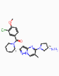 COc1ccc(C(=O)N2CCCC[C@H]2c2cc3nc(N4CC[C@H](N)C4)c(C)cn3n2)cc1Cl